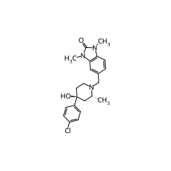 C[C@@H]1C[C@](O)(c2ccc(Cl)cc2)CCN1Cc1ccc2c(c1)n(C)c(=O)n2C